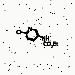 CCOC(=O)Nc1ccc(Cl)nc1